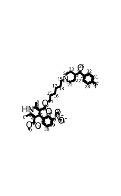 COC(=O)C1=C(C)NC(C)=C(C(=O)OCCCCCCN2CCC(C(=O)c3ccc(F)cc3)CC2)C1c1cccc([N+](=O)[O-])c1